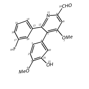 COc1ccc(-c2c(OC)cc(C=O)nc2-c2cccc(F)c2)cc1O